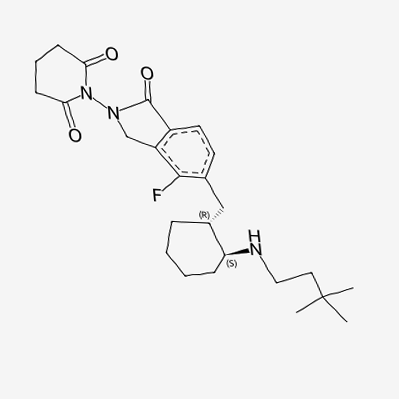 CC(C)(C)CCN[C@H]1CCCC[C@@H]1Cc1ccc2c(c1F)CN(N1C(=O)CCCC1=O)C2=O